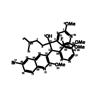 COc1cc(C(O)(CCN(C)C)C(c2cc3cc(Br)ccc3nc2OC)c2cccc(OC)c2F)cc(OC)n1